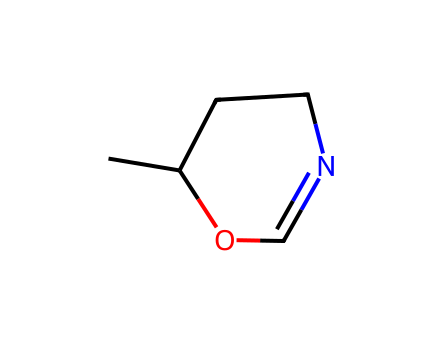 CC1CCN=CO1